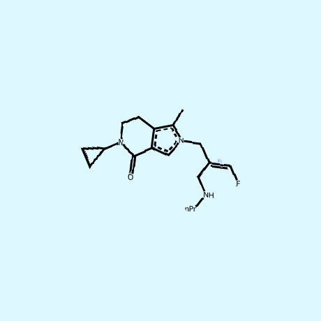 CCCNC/C(=C\F)Cn1cc2c(c1C)CCN(C1CC1)C2=O